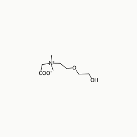 C[N+](C)(CCOCCO)CC(=O)[O-]